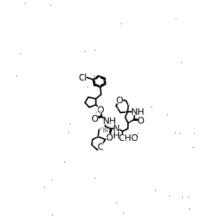 O=CC(CC1CC2(CCOCC2)NC1=O)NC(=O)[C@H](CC1CCCCC1)NC(=O)OC1CCCC1Cc1cccc(Cl)c1